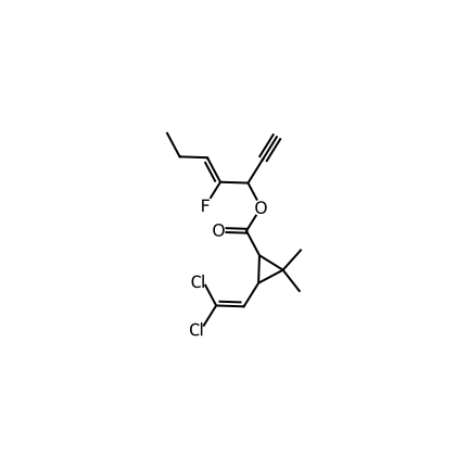 C#CC(OC(=O)C1C(C=C(Cl)Cl)C1(C)C)C(F)=CCC